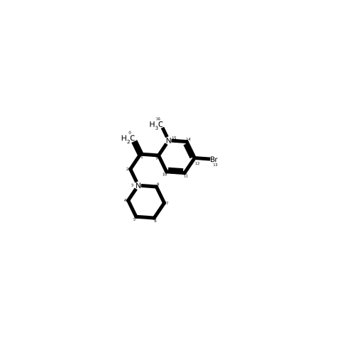 C=C(CN1CCCCC1)C1C=CC(Br)=CN1C